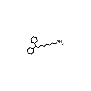 PCCCCCCCC(C1CCCCC1)C1CCCCC1